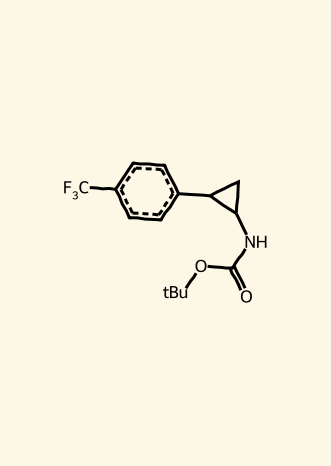 CC(C)(C)OC(=O)NC1CC1c1ccc(C(F)(F)F)cc1